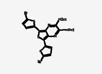 CCCCCCCCc1nc2c(-c3ccc(Br)s3)sc(-c3ccc(Br)s3)c2nc1CCCCCCCC